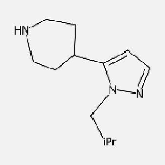 CC(C)Cn1nccc1C1CCNCC1